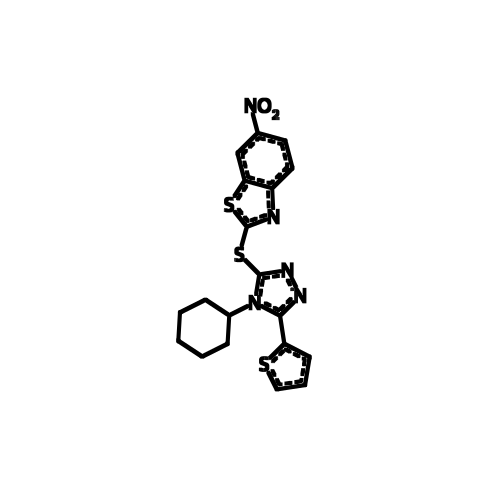 O=[N+]([O-])c1ccc2nc(Sc3nnc(-c4cccs4)n3C3CCCCC3)sc2c1